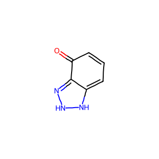 O=c1cccc2[nH][nH]nc1-2